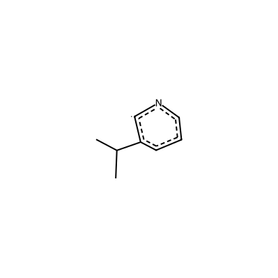 CC(C)c1[c]nccc1